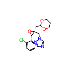 Clc1ccccc1[C@@H]1O[C@@]1(CC1OCCCO1)Cn1cncn1